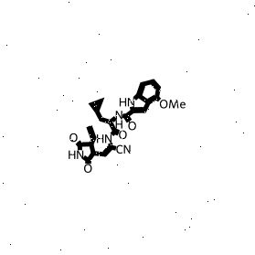 C=CC1C(=O)NC(=O)C1/C=C(/C#N)NC(=O)C(CC1CC1)NC(=O)c1cc2c(OC)cccc2[nH]1